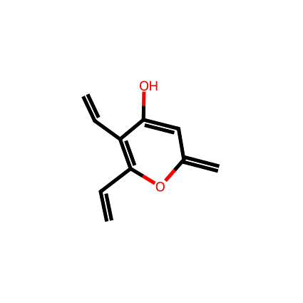 C=CC1=C(C=C)C(O)=CC(=C)O1